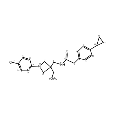 CC(=O)OCC1(CNC(=O)Cc2ccc(C3CC3)cc2)CN(c2ccc(Cl)nn2)C1